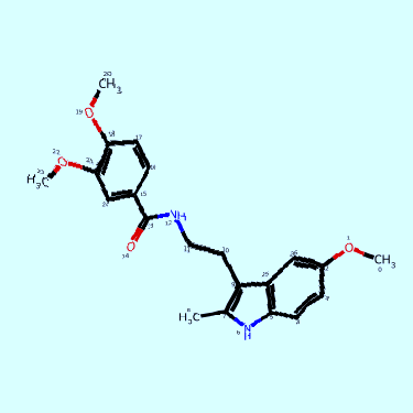 COc1ccc2[nH]c(C)c(CCNC(=O)c3ccc(OC)c(OC)c3)c2c1